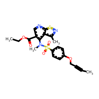 CC#CCOc1ccc(S(=O)(=O)N(C)c2c(C(=O)OCC)cnc3snc(C)c23)cc1